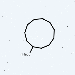 CCCCCCCC1CCCCCCCCCC1